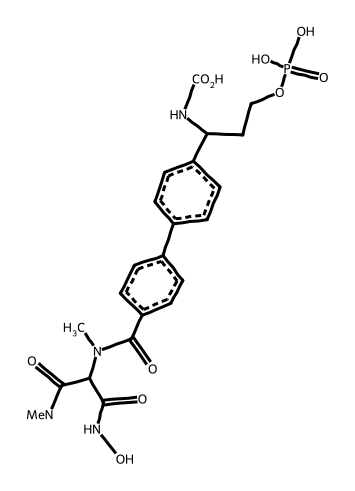 CNC(=O)C(C(=O)NO)N(C)C(=O)c1ccc(-c2ccc(C(CCOP(=O)(O)O)NC(=O)O)cc2)cc1